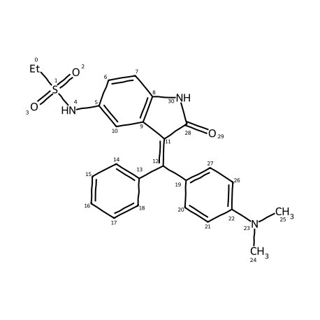 CCS(=O)(=O)Nc1ccc2c(c1)/C(=C(\c1ccccc1)c1ccc(N(C)C)cc1)C(=O)N2